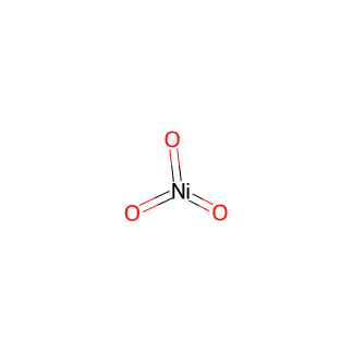 [O]=[Ni](=[O])=[O]